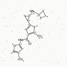 Cc1cc(NC(=O)c2cc(C3CC3NC3CCC3)sc2C)on1